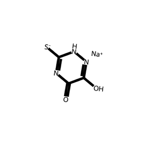 O=c1nc([S-])[nH]nc1O.[Na+]